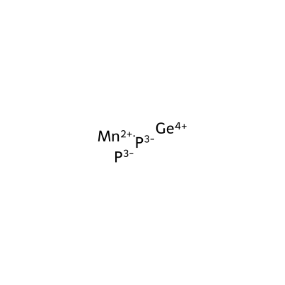 [Ge+4].[Mn+2].[P-3].[P-3]